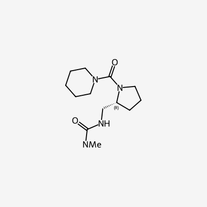 CNC(=O)NC[C@H]1CCCN1C(=O)N1CCCCC1